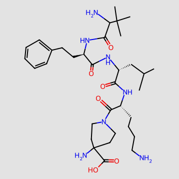 CC(C)C[C@@H](NC(=O)[C@@H](CCc1ccccc1)NC(=O)C(N)C(C)(C)C)C(=O)N[C@H](CCCCN)C(=O)N1CCC(N)(C(=O)O)CC1